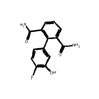 NC(=O)c1cccc(C(N)=O)c1-c1ccc(F)c(O)c1